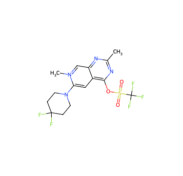 Cc1nc(OS(=O)(=O)C(F)(F)F)c2cc(N3CCC(F)(F)CC3)[n+](C)cc2n1